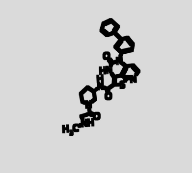 CNCC(=O)N1CCC[C@@H](NC(=O)c2sc3nccc4c3c2NC(=O)N4c2cccc(-c3ccccc3)c2)C1